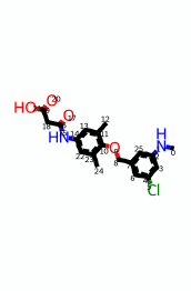 CNc1cc(Cl)cc(COc2c(C)cc(NC(=O)CC(=O)O)cc2C)c1